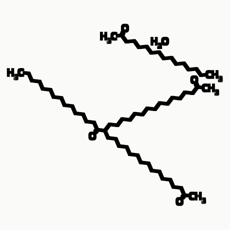 CCCCCCCCCCCCCCC(=O)C(CCCCCCCCCCCCCCC(C)=O)CCCCCCCCCCCCCCC(C)=O.CCCCCCCCCCCCCCC(C)=O.O